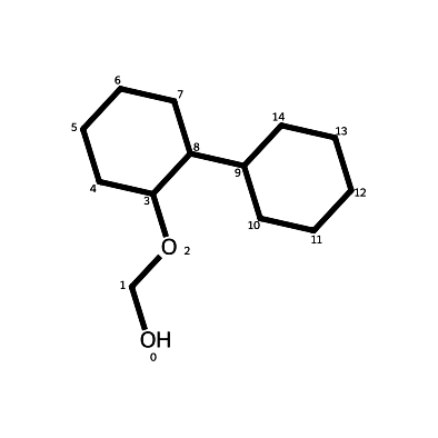 OCOC1CCCCC1C1CCCCC1